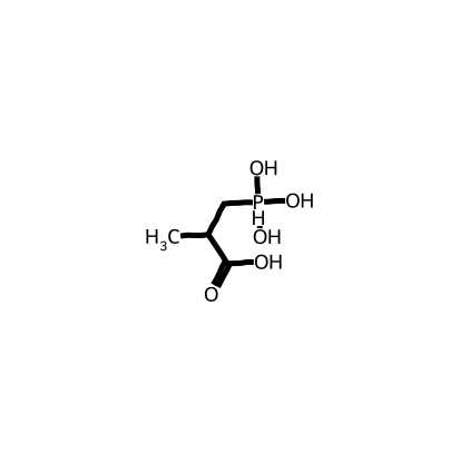 CC(C[PH](O)(O)O)C(=O)O